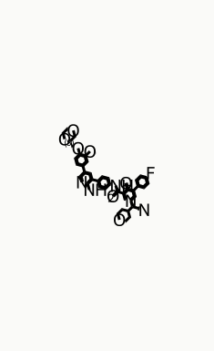 COc1cc(-c2cnc(N)c(-c3ccc(NC(=O)c4cn(C(C#N)C5CCOCC5)cc(-c5ccc(F)cc5)c4=O)cc3)c2)ccc1OC[C@@H]1COCCO1